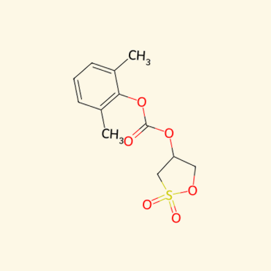 Cc1cccc(C)c1OC(=O)OC1COS(=O)(=O)C1